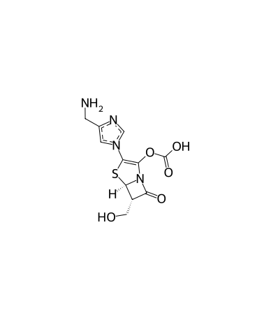 NCc1cn(C2=C(OC(=O)O)N3C(=O)[C@H](CO)[C@H]3S2)cn1